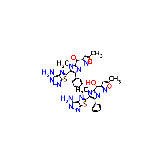 Cc1cc(C(=O)c2nc(-c3ccccc3)c(-c3nc4c(N)ncnc4s3)n2C)no1.Cc1cc(C(O)c2nc(-c3ccccc3)c(-c3nc4c(N)ncnc4s3)n2C)no1